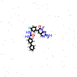 CNc1ncc2cc(-c3ccc(F)c(NC(=O)Nc4ccc(-c5ccccc5)cc4)c3)c(=O)n(C)c2n1